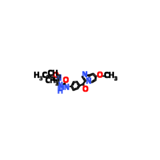 CCOc1ccn2c(C(=O)c3ccc(NC(=O)Nc4cc(C(C)(C)C)on4)cc3)cnc2c1